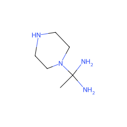 CC(N)(N)N1CCNCC1